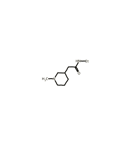 CCNC(=O)CC1CCCN(C)C1